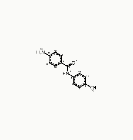 N#Cc1ccc(NC(=O)c2ccc(N)cc2)cc1